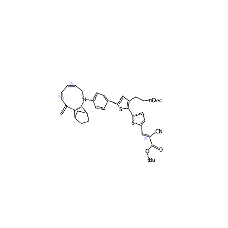 C=C1/C=C\C=C/CN(c2ccc(-c3cc(CCCCCCCCCCCC)c(-c4ccc(/C=C(\C#N)C(=O)OC(C)(C)C)s4)s3)cc2)C2C3CCC(C3)C12